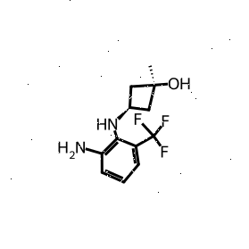 C[C@]1(O)C[C@@H](Nc2c(N)cccc2C(F)(F)F)C1